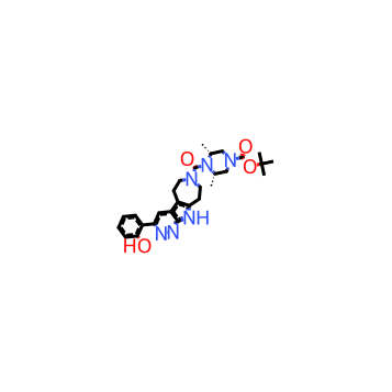 C[C@@H]1CN(C(=O)OC(C)(C)C)C[C@H](C)N1C(=O)N1CCc2[nH]c3nnc(-c4ccccc4O)cc3c2CC1